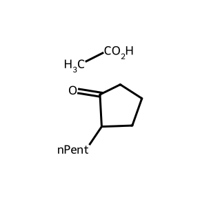 CC(=O)O.CCCCCC1CCCC1=O